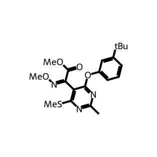 CON=C(C(=O)OC)c1c(Oc2cccc(C(C)(C)C)c2)nc(C)nc1SC